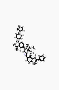 CC1=C(NC(=O)c2ccccc2)C(=N)CC=C1/C=C/CN(c1ccc(OC2CCN(C3=NCCC3)CC2)c(C(N)=O)c1)S(C)(=O)=O